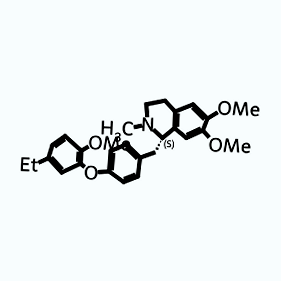 CCc1ccc(OC)c(Oc2ccc(C[C@H]3c4cc(OC)c(OC)cc4CCN3C)cc2)c1